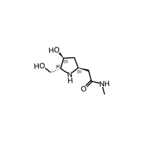 CNC(=O)C[C@@H]1C[C@H](O)[C@@H](CO)N1